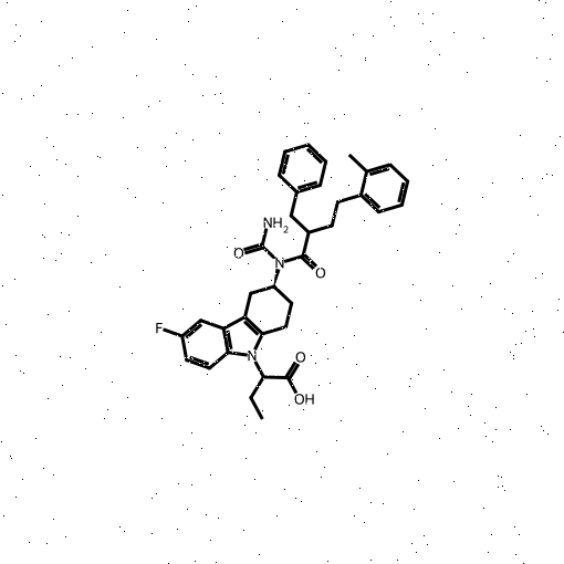 CCC(C(=O)O)n1c2c(c3cc(F)ccc31)C[C@@H](N(C(N)=O)C(=O)C(CCc1ccccc1C)Cc1ccccc1)CC2